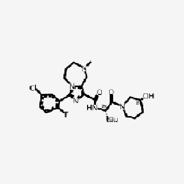 CN1CCCn2c(-c3cc(Cl)ccc3F)nc(C(=O)N[C@H](C(=O)N3CCC[C@H](O)C3)C(C)(C)C)c2C1